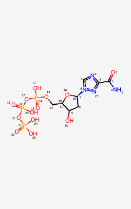 NC(=O)c1ncn([C@H]2CC(O)[C@@H](COP(=O)(O)OP(=O)(O)OP(=O)(O)O)O2)n1